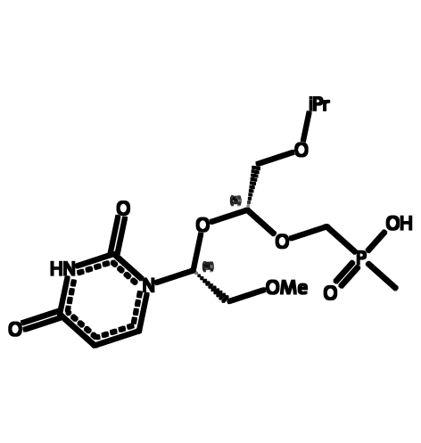 COC[C@@H](O[C@H](COC(C)C)OCP(C)(=O)O)n1ccc(=O)[nH]c1=O